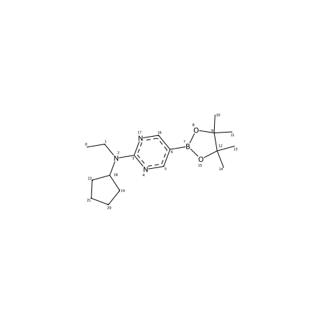 CCN(c1ncc(B2OC(C)(C)C(C)(C)O2)cn1)C1CCCC1